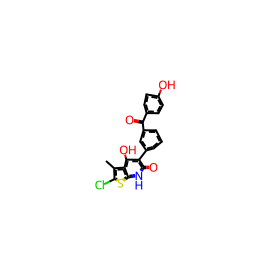 Cc1c(Cl)sc2[nH]c(=O)c(-c3cccc(C(=O)c4ccc(O)cc4)c3)c(O)c12